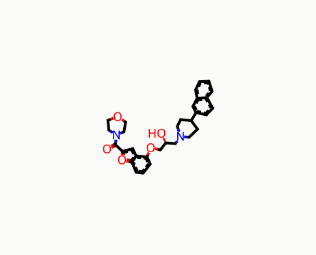 O=C(c1cc2c(OC[C@@H](O)CN3CCC(c4ccc5ccccc5c4)CC3)cccc2o1)N1CCOCC1